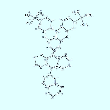 CC(C)(C)C1=CC2Sc3cc(-c4c5c(c(-c6ccc7ccccc7c6)c6ccccc46)C=CCC5)cc4c3B(C2C=C1)C1C=CC(C(C)(C)C)=CC1S4